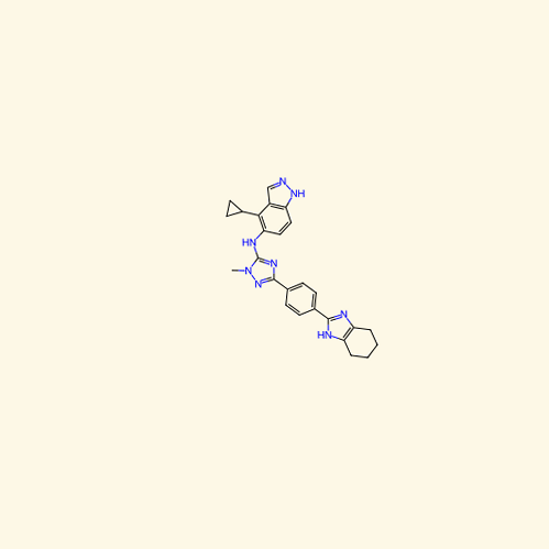 Cn1nc(-c2ccc(-c3nc4c([nH]3)CCCC4)cc2)nc1Nc1ccc2[nH]ncc2c1C1CC1